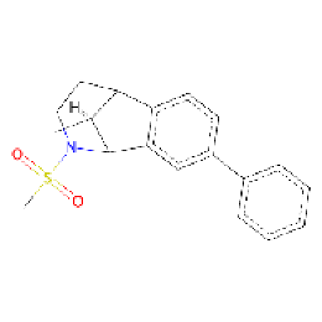 C[C@H]1C2CCN(S(C)(=O)=O)C1c1cc(-c3ccccc3)ccc12